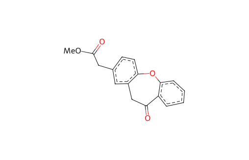 COC(=O)Cc1ccc2c(c1)CC(=O)c1ccccc1O2